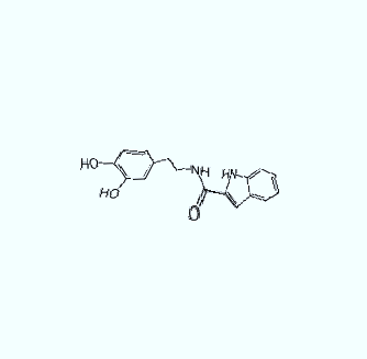 O=C(NCCc1ccc(O)c(O)c1)c1cc2ccccc2[nH]1